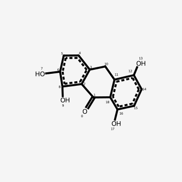 O=C1c2c(ccc(O)c2O)Cc2c(O)ccc(O)c21